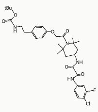 CC(C)(C)OC(=O)NCCc1ccc(OCC(=O)N2C(C)(C)CC(NC(=O)C(=O)Nc3ccc(Cl)c(F)c3)CC2(C)C)cc1